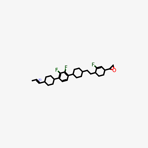 C/C=C/C1CCC(c2ccc(C3CCC(CCC4CCC(C5CO5)C=C4F)CC3)c(F)c2F)CC1